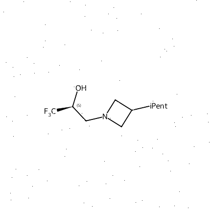 CCCC(C)C1CN(C[C@H](O)C(F)(F)F)C1